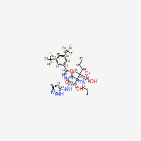 CCCN(C(=O)O)[C@](c1nnc(-c2cc(C(F)(F)F)cc(C(F)(F)F)c2)o1)([C@H](O)C(=O)Nc1ccn[nH]1)C(C)(C)CCC